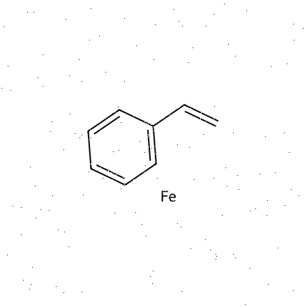 C=Cc1ccccc1.[Fe]